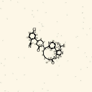 C[C@@H]1CCC[C@H](N2CCC(c3cc(Cl)ccc3C#N)CC2=O)c2cc(ccn2)-c2c(cnn2C(F)F)NC1=O